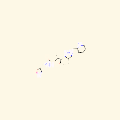 Cc1c(C(=O)NCc2cnoc2)oc2c1-c1nn(Cc3ccccn3)cc1CC2